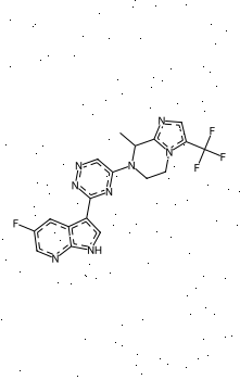 CC1c2ncc(C(F)(F)F)n2CCN1c1cnnc(-c2c[nH]c3ncc(F)cc23)n1